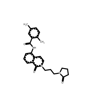 Cc1ccc(C)c(C(=O)Nc2cccc3c(=O)n(CCCN4CCCC4=O)ccc23)c1